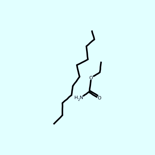 CCCCCCCCCCC.CCOC(N)=O